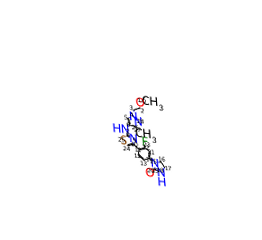 COCCn1cc(Nc2nc(-c3ccc(N4CCNC4=O)cc3F)cs2)c(C)n1